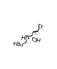 CC/C=C/CNCCCCC.Cl